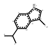 CC(C)c1ccc2[nH]cc(I)c2c1